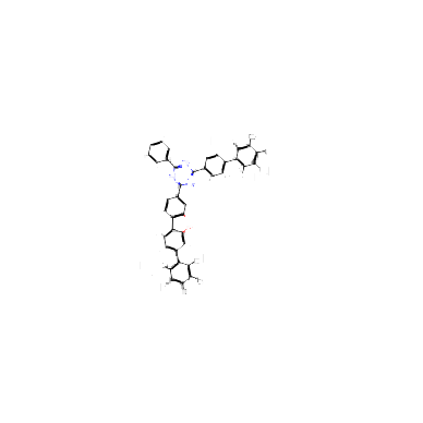 Bc1c(B)c(B)c(-c2ccc(-c3nc(-c4ccccc4)nc(-c4ccc5c(c4)oc4cc(-c6c(B)c(B)c(B)c(B)c6B)ccc45)n3)cc2)c(B)c1B